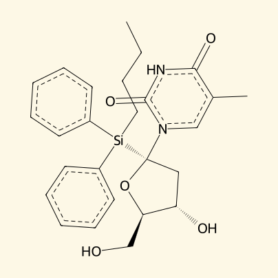 CCCC[Si](c1ccccc1)(c1ccccc1)[C@]1(n2cc(C)c(=O)[nH]c2=O)C[C@H](O)[C@@H](CO)O1